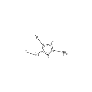 CPc1nc(N)sc1F